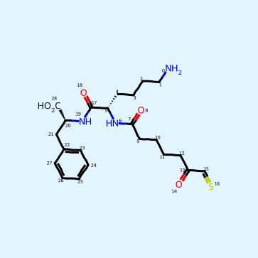 NCCCC[C@H](NC(=O)CCCCC(=O)C=S)C(=O)N[C@@H](Cc1ccccc1)C(=O)O